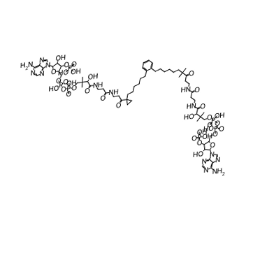 CC(C)(CCCCCCc1ccccc1CCCCCCC1(C(=O)CCNC(=O)CCNC(=O)C(O)C(C)(C)COP(=O)(O)OP(=O)(O)OCC2OC(n3cnc4c(N)ncnc43)C(O)C2OP(=O)(O)O)CC1)C(=O)CCNC(=O)CCNC(=O)C(O)C(C)(C)COP(=O)(O)OP(=O)(O)OCC1OC(n2cnc3c(N)ncnc32)C(O)C1OP(=O)(O)O